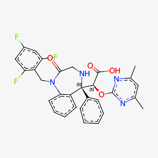 Cc1cc(C)nc(O[C@H](C(=O)O)[C@@]2(c3ccccc3)NCC(=O)N(Cc3c(F)cc(F)cc3F)c3ccccc32)n1